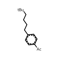 CC(=O)c1ccc(CCCCC(C)(C)C)cc1